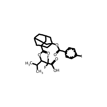 CC(C)C(OC(=O)C12CC3CC(CC(OC(=O)c4ccc(I)cc4)(C3)C1)C2)C(F)(F)C(=O)O